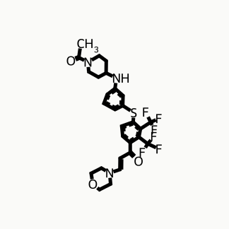 CC(=O)N1CCC(Nc2cccc(Sc3ccc(C(=O)C=CN4CCOCC4)c(C(F)(F)F)c3C(F)(F)F)c2)CC1